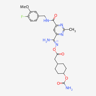 COc1cc(CNC(=O)c2cc(/C(N)=N/OC(=O)CC3CCC(OC(N)=O)CC3)nc(C)n2)ccc1F